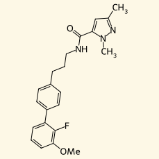 COc1cccc(-c2ccc(CCCNC(=O)c3cc(C)nn3C)cc2)c1F